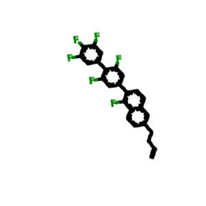 C=CCCc1ccc2c(F)c(-c3cc(F)c(-c4cc(F)c(F)c(F)c4)c(F)c3)ccc2c1